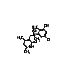 [CH]c1cc(Cl)cc([N+](C)(Cc2c(C)cc(C)[nH]c2=O)C(C)=O)c1C